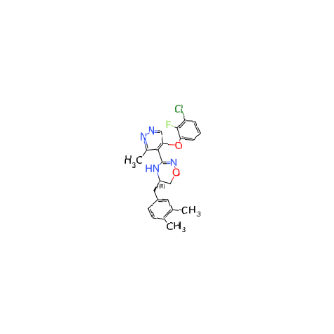 Cc1ccc(C[C@@H]2CON=C(c3c(Oc4cccc(Cl)c4F)cnnc3C)N2)cc1C